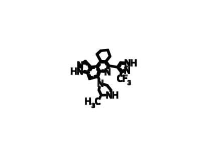 C[C@H]1CN(c2cc3[nH]ncc3c3c4c(c(-c5c[nH]nc5C(F)(F)F)nc23)CCCC4)CCN1